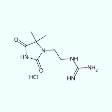 CC1(C)C(=O)NC(=O)N1CCNC(=N)N.Cl